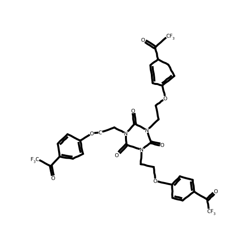 O=C(c1ccc(OCCn2c(=O)n(CCOC3=CCC(C(=O)C(F)(F)F)C=C3)c(=O)n(CCOc3ccc(C(=O)C(F)(F)F)cc3)c2=O)cc1)C(F)(F)F